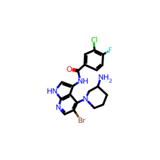 NC1CCCN(c2c(Br)cnc3[nH]cc(NC(=O)c4ccc(F)c(Cl)c4)c23)C1